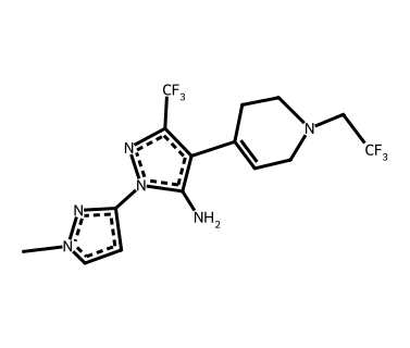 Cn1ccc(-n2nc(C(F)(F)F)c(C3=CCN(CC(F)(F)F)CC3)c2N)n1